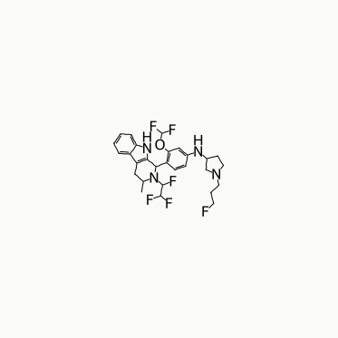 CC1Cc2c([nH]c3ccccc23)C(c2ccc(NC3CCN(CCCF)C3)cc2OC(F)F)N1C(F)C(F)F